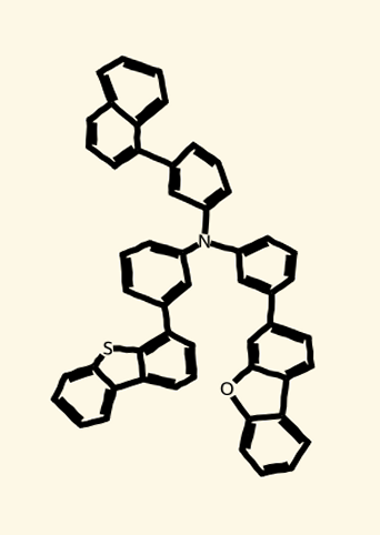 c1cc(-c2ccc3c(c2)oc2ccccc23)cc(N(c2cccc(-c3cccc4ccccc34)c2)c2cccc(-c3cccc4c3sc3ccccc34)c2)c1